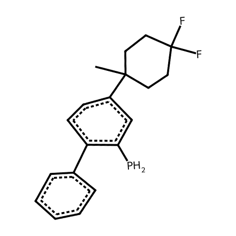 CC1(c2ccc(-c3ccccc3)c(P)c2)CCC(F)(F)CC1